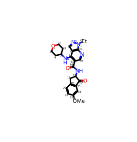 CCn1ncc2c(NC3CCOCC3)c(C(=O)NC3Cc4ccc(OC)cc4C3=O)cnc21